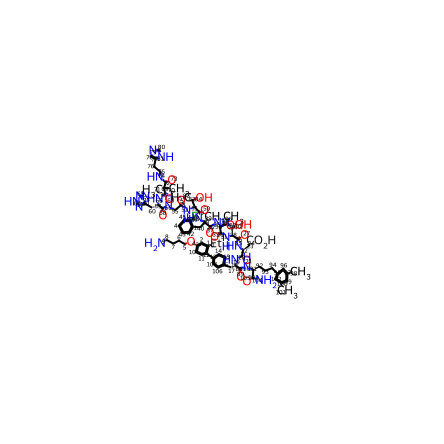 CCc1cc(OCCCCN)ccc1-c1ccc(C[C@H](NC(=O)[C@H](CC(=O)O)NC(=O)[C@H](CO)NC(=O)[C@H](NC(=O)[C@](C)(Cc2ccccc2F)NC(=O)[C@@H](NC(=O)CNC(=O)[C@H](Cc2nn[nH]n2)NC(=O)C(C)(C)C(=O)NCCc2cnc[nH]2)[C@@H](C)O)[C@@H](C)O)C(=O)N[C@@H](CCCc2cc(C)cc(C)c2)C(N)=O)cc1